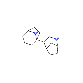 C1CC2CCC(C3CNC4CCC3C4)(C1)N2